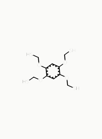 SCOc1cc(OCS)c(OCS)cc1OCS